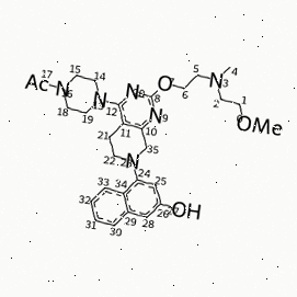 COCCN(C)CCOc1nc2c(c(N3CCN(C(C)=O)CC3)n1)CCN(c1cc(O)cc3ccccc13)C2